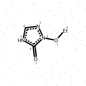 CCOn1nc[nH]c1=O